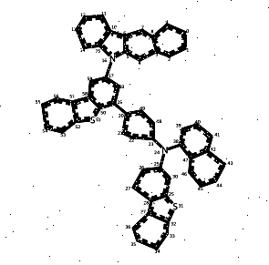 c1ccc2cc3c(cc2c1)c1ccccc1n3-c1cc(-c2ccc(N(c3ccc4c(c3)sc3ccccc34)c3cccc4ccccc34)cc2)c2sc3ccccc3c2c1